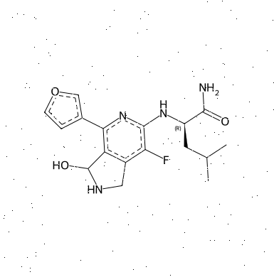 CC(C)C[C@@H](Nc1nc(-c2ccoc2)c2c(c1F)CNC2O)C(N)=O